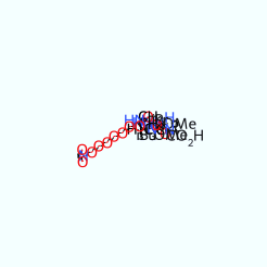 CCC(C)C(C(CC(=O)N1CCC[C@H]1C(OC)C(C)C(=O)NC(C(=O)O)C1(c2ccccc2)CC1)OC)N(C)C(=O)C(NC(=O)C(C)(C)NC(=O)CCOCCOCCOCCOCCOCCOCCN1C(=O)C=CC1=O)C(C)C